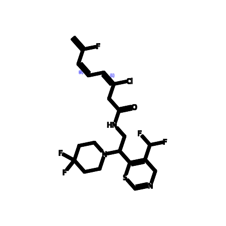 C=C(F)/C=C\C=C(\Cl)CC(=O)NCC(C1=C(C(F)F)CN=CS1)N1CCC(F)(F)CC1